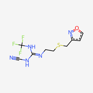 N#CNC(=NCCSCc1ccon1)NC(F)(F)F